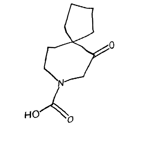 O=C(O)N1CCC2(CCCC2)C(=O)C1